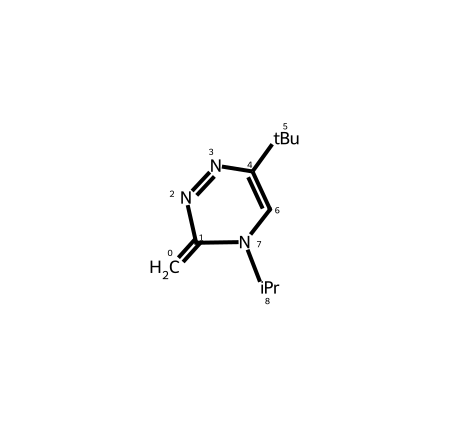 C=C1N=NC(C(C)(C)C)=CN1C(C)C